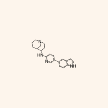 c1cc2cc(-c3ccc(NC4CCN5CCCC4C5)nc3)ccc2[nH]1